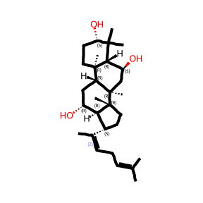 CC(C)=CC/C=C(/C)[C@H]1CC[C@]2(C)[C@@H]1[C@H](O)C[C@@H]1[C@@]3(C)CC[C@H](O)C(C)(C)[C@@H]3[C@@H](O)C[C@]12C